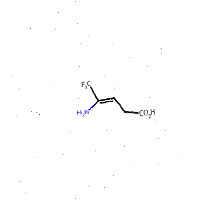 NC(=CCC(=O)O)C(F)(F)F